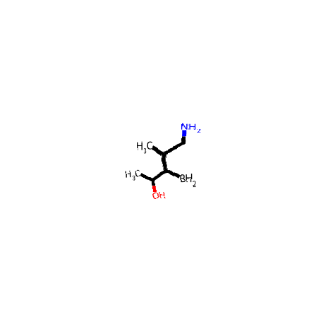 BC(C(C)O)C(C)CN